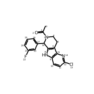 CC(=O)N1CCc2c([nH]c3ccc(Cl)nc23)C1c1cccc(F)c1